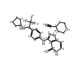 N#CC1CCOC[C@@H]1n1nc(Nc2ccc(C(NC3CCCC3)C(F)(F)F)cc2)c2c(=O)[nH]ccc21